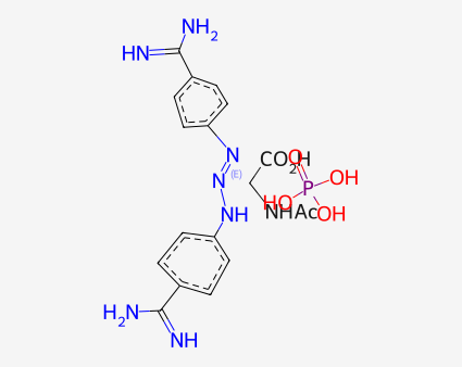 CC(=O)NCC(=O)O.N=C(N)c1ccc(/N=N/Nc2ccc(C(=N)N)cc2)cc1.O=P(O)(O)O